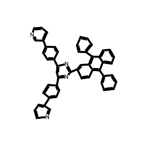 c1ccc(-c2c3ccccc3c(-c3ccccc3)c3cc(-c4nc(-c5ccc(-c6cccnc6)cc5)cc(-c5ccc(-c6cccnc6)cc5)n4)ccc23)cc1